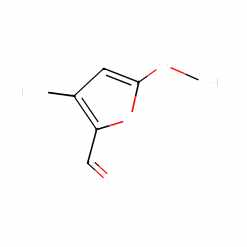 COc1cc(C)c(C=O)o1